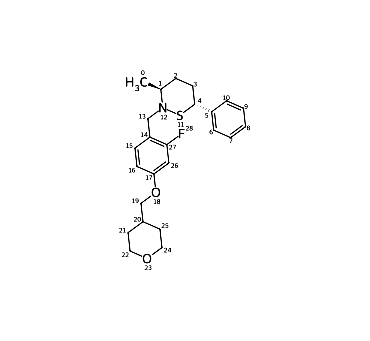 C[C@H]1CC[C@H](c2ccccc2)SN1Cc1ccc(OCC2CCOCC2)cc1F